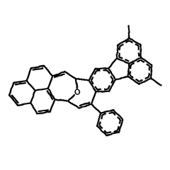 Cc1cc2c3c(cc(C)cc3c1)-c1cc3c(cc1-2)C(c1ccccc1)=CC1OC3C=C2C=CC3=CC=CC4C=CC1=C2C34